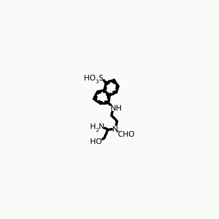 NC(CO)N(C=O)CCNc1cccc2c(S(=O)(=O)O)cccc12